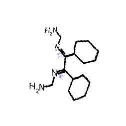 NC/N=C(/C(=N/CN)C1CCCCC1)C1CCCCC1